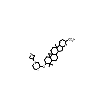 C[C@@H]1CC(C(=O)O)OC2CC3C4CCC5C(C)(C)C(OC6CN(C7COC7)CCO6)CCC56CC46CCC3(C)C21